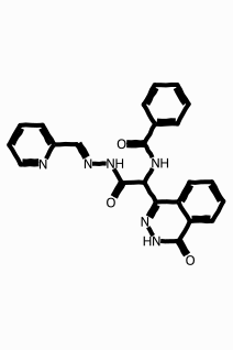 O=C(NC(C(=O)NN=Cc1ccccn1)c1n[nH]c(=O)c2ccccc12)c1ccccc1